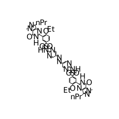 CCCc1nn(C)c2c(=O)[nH]c(-c3cc(S(=O)(=O)Nc4ncc(N=Nc5cnc(NS(=O)(=O)c6ccc(OCC)c(-c7nc8c(CCC)nn(C)c8c(=O)[nH]7)c6)nc5)cn4)ccc3OCC)nc12